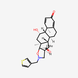 COC(=O)[C@@]12ON(Cc3ccsc3)C[C@@H]1C[C@H]1[C@@H]3CCC4=CC(=O)C=C[C@]4(C)[C@H]3[C@@H](O)C[C@@]12C